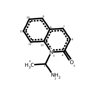 CC(N)n1c(=O)ccc2ccccc21